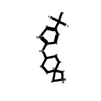 CC(F)(F)c1ccc(OC2CCC3(CC2)CNC3)nc1